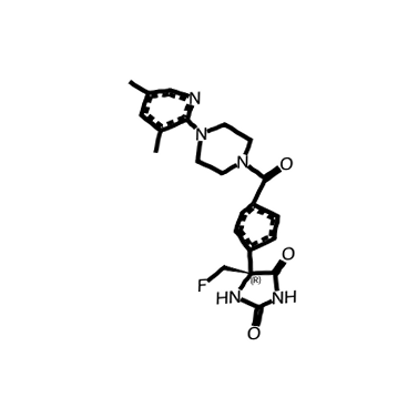 Cc1cnc(N2CCN(C(=O)c3ccc([C@@]4(CF)NC(=O)NC4=O)cc3)CC2)c(C)c1